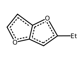 CCc1cc2occc2o1